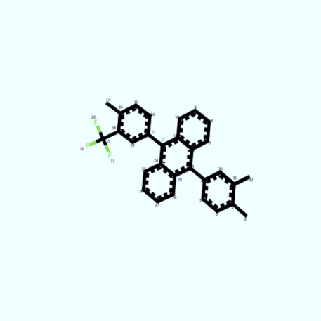 Cc1ccc(-c2c3ccccc3c(-c3ccc(C)c(C(F)(F)F)c3)c3ccccc23)cc1C